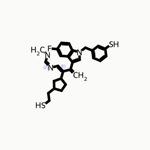 C=N/C=N\C=C(\C(=C)c1cn(Cc2cccc(S)c2)c2ccc(F)cc12)C1CCC(CCS)C1